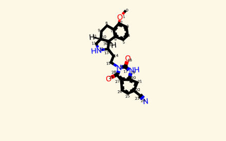 COc1cccc2c1CC[C@H]1CNC(CCn3c(=O)[nH]c4cc(C#N)ccc4c3=O)[C@@H]21